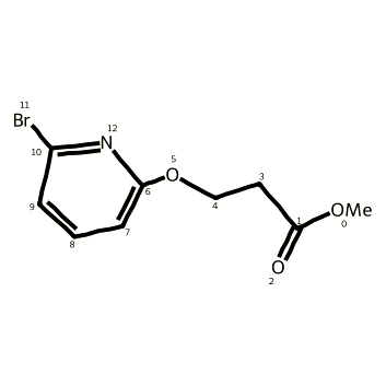 COC(=O)CCOc1cccc(Br)n1